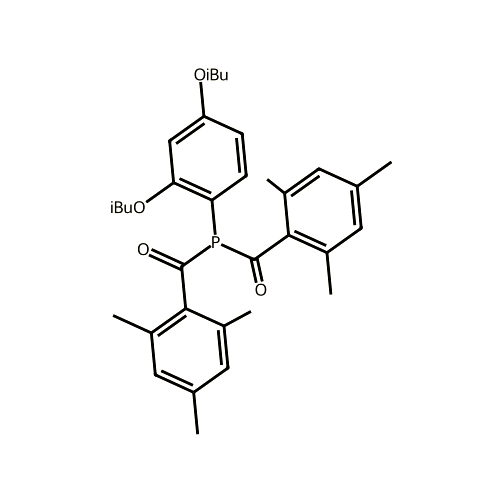 Cc1cc(C)c(C(=O)P(C(=O)c2c(C)cc(C)cc2C)c2ccc(OCC(C)C)cc2OCC(C)C)c(C)c1